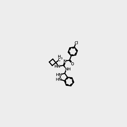 CC1(N/C(=N/C(=O)c2ccc(Cl)cc2)NC2NNc3ccccc32)CCC1